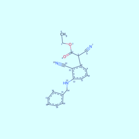 CCOC(=O)C(C#N)c1cccc(NCc2ccccc2)c1C#N